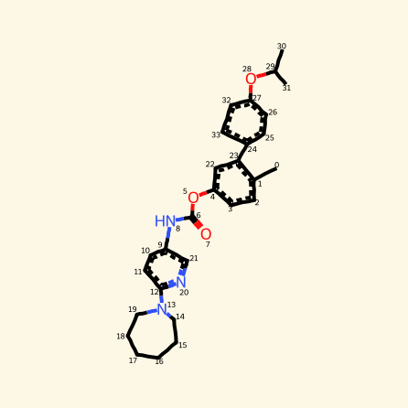 Cc1ccc(OC(=O)Nc2ccc(N3CCCCCC3)nc2)cc1-c1ccc(OC(C)C)cc1